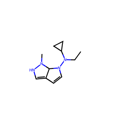 CCN(C1CC1)N1C=CC2=CNN(C)C21